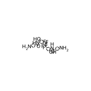 Nc1ccc(C(=O)Nc2cc(C(F)(F)C(F)(c3ccc(O)c(NC(=O)c4ccc(N)cc4)c3)C(F)(F)F)ccc2O)cc1